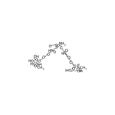 CC(=O)NC1C(O)CC(CO)OC1OCCOCCOCCNC(=O)CCOCC(N)(COCCC=O)COCCC(=O)NCCOCCOCCOC1OC(CO)C(O)C(O)C1NC(C)=O